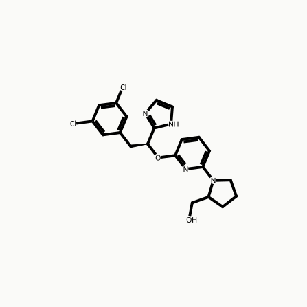 OCC1CCCN1c1cccc(O[C@@H](Cc2cc(Cl)cc(Cl)c2)c2ncc[nH]2)n1